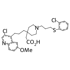 COc1ccc2ncc(Cl)c(CCCC3(CC(=O)O)CCN(CCCSc4ccccc4Cl)CC3)c2c1